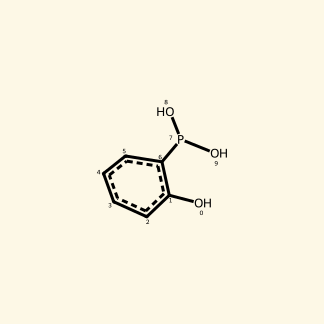 Oc1ccccc1P(O)O